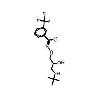 CC(C)(C)NCC(O)CO/N=C(\Cl)c1cccc(C(F)(F)F)c1